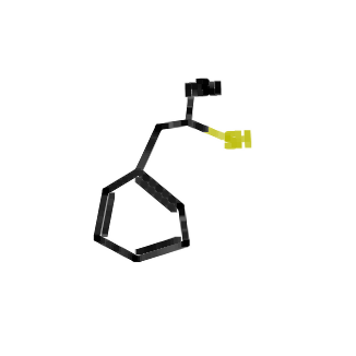 CCCCC(S)Cc1ccccc1